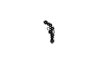 Clc1c(-c2ccc3c(c2)CC(N2CCCCC2)C3)cccc1-c1cccc(-c2ccc3c(c2)CC(N2CCOCC2)C3)c1Cl